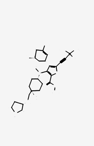 COC(=O)c1sc(C#CC(C)(C)C)cc1N(C[C@H]1CC=C(C)C[C@@H]1C)[C@H]1CC[C@](O)(CO[C@H]2CCOC2)CC1